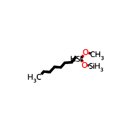 CCCCCCCC[SiH](OC)O[SiH3]